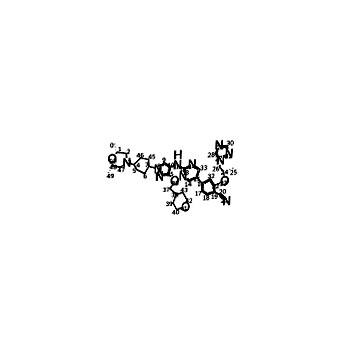 C[C@@H]1CN(C2CCC(n3cc(Nc4ncc(-c5ccc(C#N)c(O[C@@H](C)Cn6cncn6)c5)cn4)c(OCC4CCOCC4)n3)CC2)C[C@H](C)O1